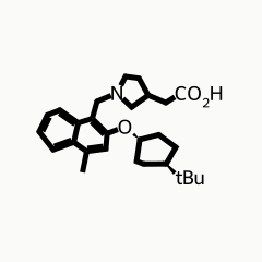 Cc1cc(O[C@H]2CC[C@H](C(C)(C)C)CC2)c(CN2CCC(CC(=O)O)C2)c2ccccc12